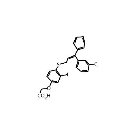 O=C(O)COc1ccc(SCC=C(c2ccccc2)c2cccc(Cl)c2)c(I)c1